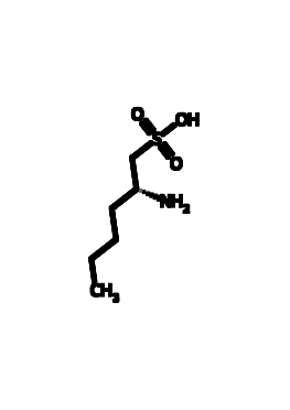 CCCC[C@@H](N)CS(=O)(=O)O